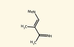 CN/C=C(\C)C(C)=N